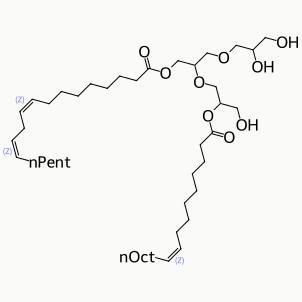 CCCCC/C=C\C/C=C\CCCCCCCC(=O)OCC(COCC(O)CO)OCC(CO)OC(=O)CCCCCCC/C=C\CCCCCCCC